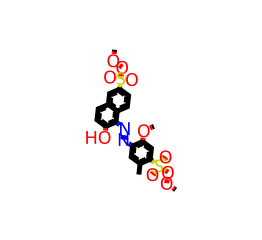 COOS(=O)(=O)c1ccc2c(/N=N/c3cc(C)c(S(=O)(=O)OOC)cc3OC)c(O)ccc2c1